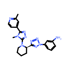 Cc1cc(-c2nnc(N3CCCC[C@@H]3c3nnn(-c4cccc(N)c4)n3)n2C)ccn1